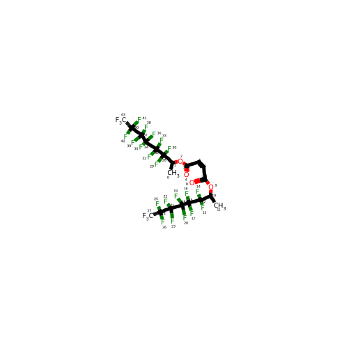 CC(OC(=O)/C=C\C(=O)OC(C)C(F)(F)C(F)(F)C(F)(F)C(F)(F)C(F)(F)C(F)(F)F)C(F)(F)C(F)(F)C(F)(F)C(F)(F)C(F)(F)C(F)(F)F